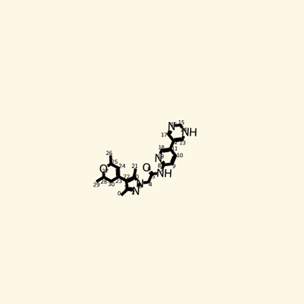 Cc1nn(CC(=O)Nc2ccc(C3=CNCN=C3)cn2)c(C)c1C1=CC(C)OC(C)C1